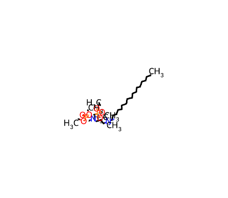 CCCCCCCCCCCCCCCCCC[N+](C)(C)CCCN(CP(=O)(OCC)OCC)CP(=O)(OCC)OCC